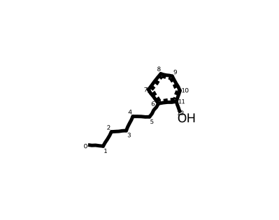 CCCCCCc1[c]cccc1O